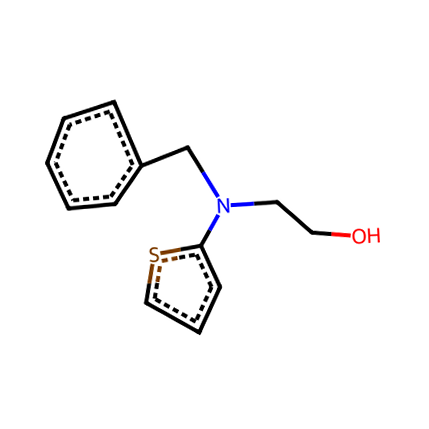 OCCN(Cc1ccccc1)c1cccs1